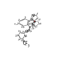 Cc1ccc(-n2nccn2)c(C(=O)N2C3CCC2C(COc2cccc(C(F)(F)F)n2)C3)c1